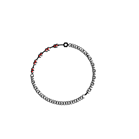 C1=C/COCCOCCOCCOCCOCCOCCOCOCCOCCOc2ccc(cc2)-c2ccc(cc2)-c2ccc(cc2)-c2ccc(cc2)-c2ccc(cc2)-c2ccc(cc2)OCCOCCOCOCCOCCOCCOCCOCCOCCOCCOC/1